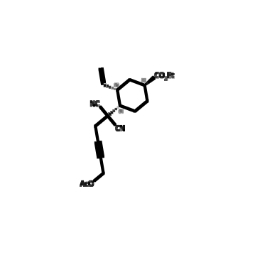 C=C[C@@H]1C[C@@H](C(=O)OCC)CC[C@@H]1C(C#N)(C#N)CC#CCOC(C)=O